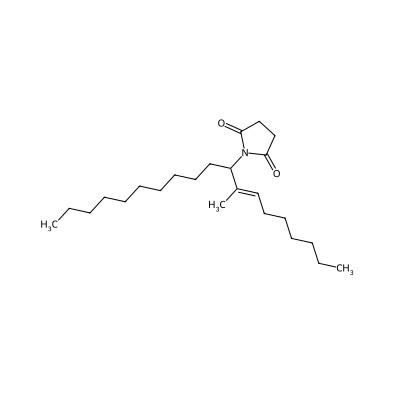 CCCCCCC=C(C)C(CCCCCCCCCC)N1C(=O)CCC1=O